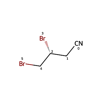 N#CC[C@@H](Br)CBr